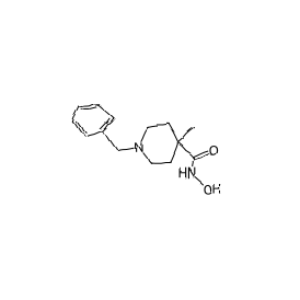 CC1(C(=O)NO)CCN(Cc2ccccc2)CC1